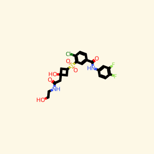 O=C(CC1(O)CC(S(=O)(=O)c2cc(C(=O)Nc3ccc(F)c(F)c3)ccc2Cl)C1)NCCO